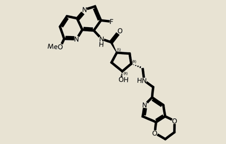 COc1ccc2ncc(F)c(NC(=O)[C@H]3C[C@H](CNCc4cc5c(cn4)OCCO5)[C@H](O)C3)c2n1